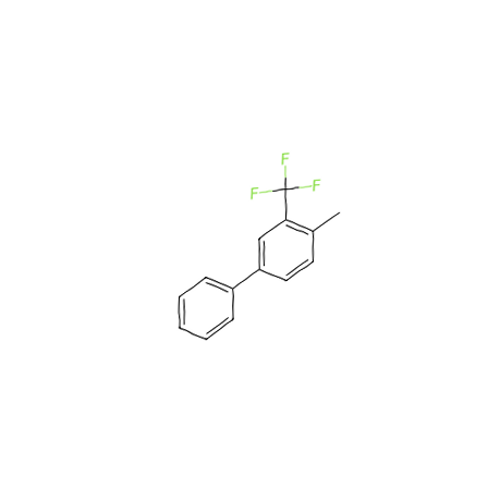 Cc1ccc(-c2ccccc2)cc1C(F)(F)F